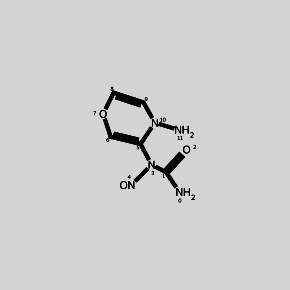 NC(=O)N(N=O)C1=COC=CN1N